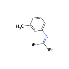 Cc1cccc(N=C(C(C)C)C(C)C)c1